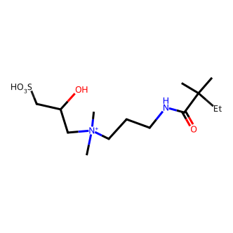 CCC(C)(C)C(=O)NCCC[N+](C)(C)CC(O)CS(=O)(=O)O